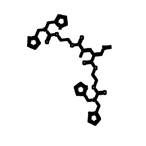 C=N/C=C(\C=C(/C)C(=O)OCCOC(=O)N(Cc1cccs1)Cc1cccs1)C(=O)OCCOC(=O)N(Cc1cccs1)Cc1cccs1